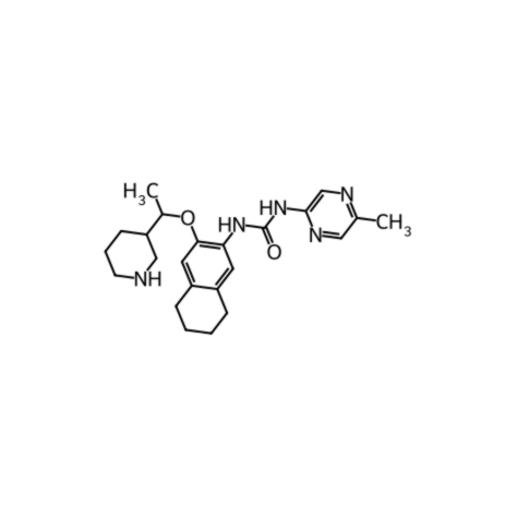 Cc1cnc(NC(=O)Nc2cc3c(cc2OC(C)C2CCCNC2)CCCC3)cn1